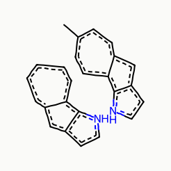 Cc1ccc2cc3cc[nH]c3c-2cc1.c1ccc2cc3cc[nH]c3c-2cc1